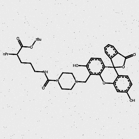 CCCC(CCCNC(=O)N1CCN(Cc2c(O)ccc3c2Oc2cc(O)ccc2C32OC(=O)c3ccccc32)CC1)C(=O)OC(C)(C)C